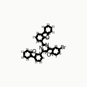 Brc1ccc2oc3c(-c4cccc5c4oc4ccccc45)nc(-c4cccc5c4oc4ccccc45)nc3c2c1